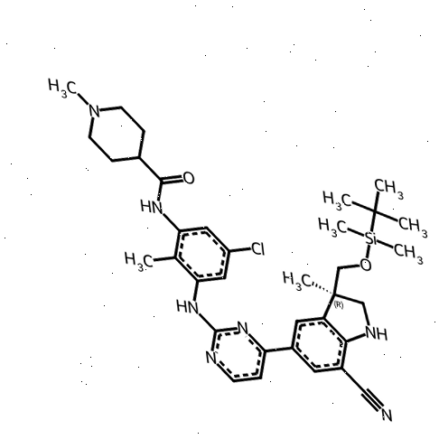 Cc1c(NC(=O)C2CCN(C)CC2)cc(Cl)cc1Nc1nccc(-c2cc(C#N)c3c(c2)[C@@](C)(CO[Si](C)(C)C(C)(C)C)CN3)n1